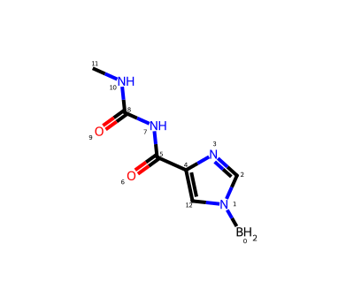 Bn1cnc(C(=O)NC(=O)NC)c1